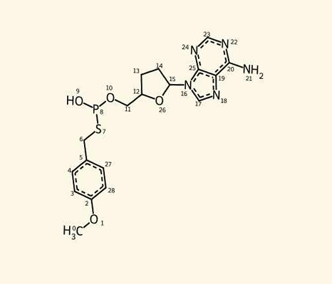 COc1ccc(CSP(O)OCC2CCC(n3cnc4c(N)ncnc43)O2)cc1